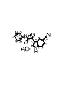 Cl.N#Cc1ccc2[nH]cc(C(=O)C(=O)NC3CN4CCC3CC4)c2c1